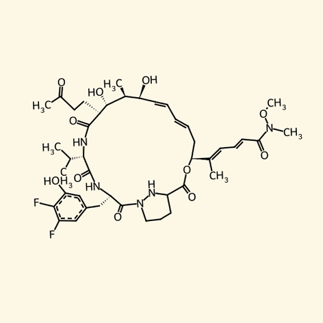 CON(C)C(=O)/C=C/C=C(\C)[C@@H]1C/C=C/C=C/[C@H](O)[C@H](C)[C@@H](O)[C@@H](CCC(C)=O)C(=O)N[C@@H](C(C)C)C(=O)N[C@@H](Cc2cc(O)c(F)c(F)c2)C(=O)N2CCCC(N2)C(=O)O1